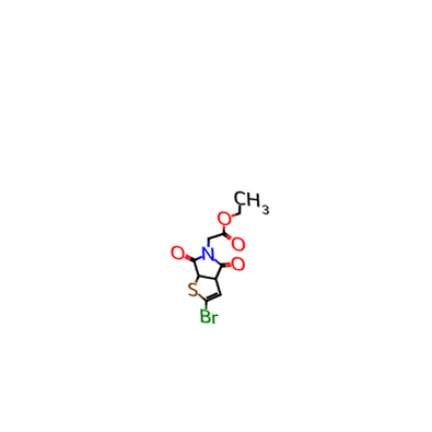 CCOC(=O)CN1C(=O)C2C=C(Br)SC2C1=O